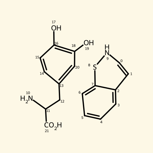 C1=Cc2ccccc2SN1.NC(Cc1ccc(O)c(O)c1)C(=O)O